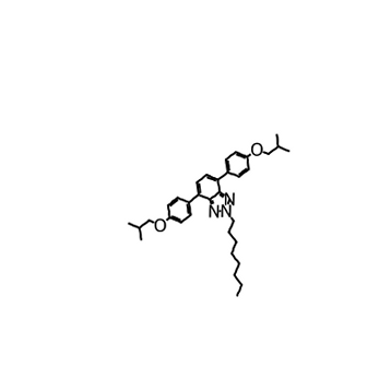 CCCCCCCCn1nc2c(-c3ccc(OCC(C)C)cc3)ccc(-c3ccc(OCC(C)C)cc3)c2n1